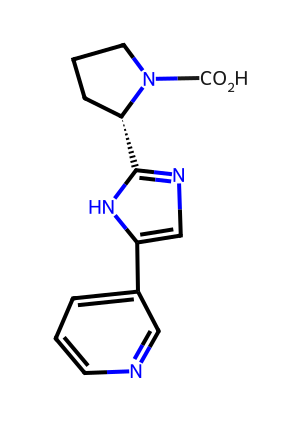 O=C(O)N1CCC[C@H]1c1ncc(-c2cccnc2)[nH]1